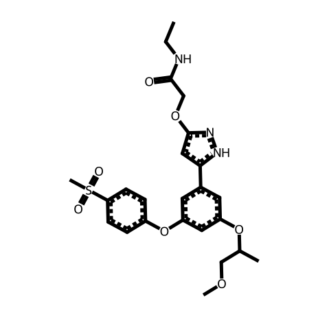 CCNC(=O)COc1cc(-c2cc(Oc3ccc(S(C)(=O)=O)cc3)cc(OC(C)COC)c2)[nH]n1